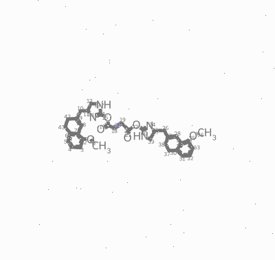 COc1cccc2c1C=C(CC1CNC(OC(=O)/C=C/C(=O)OC3=NC(CC4=Cc5c(cccc5OC)CC4)CN3)=N1)CC2